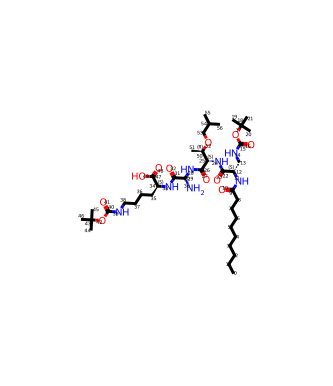 CCCCCCCCCC(=O)N[C@@H](CNC(=O)OC(C)(C)C)C(=O)N[C@H](C(=O)N[C@@H](N)C(=O)N[C@@H](CCCCNC(=O)OC(C)(C)C)C(=O)O)[C@@H](C)OCC(C)C